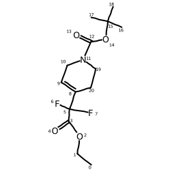 CCOC(=O)C(F)(F)C1=CCN(C(=O)OC(C)(C)C)CC1